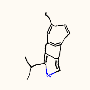 Cc1ccc2c(c1)C1=C(C(C)C)[N]C=C12